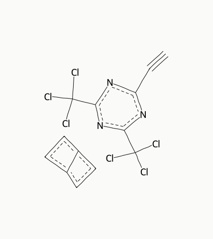 C#Cc1nc(C(Cl)(Cl)Cl)nc(C(Cl)(Cl)Cl)n1.c1cc2ccc1-2